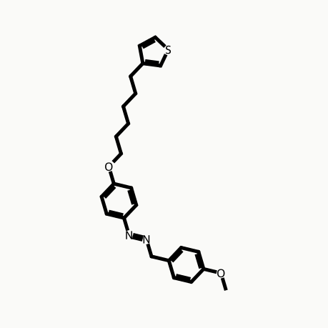 COc1ccc(CN=Nc2ccc(OCCCCCCc3ccsc3)cc2)cc1